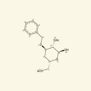 CC(=O)OC[C@@H]1C[C@@H](OCc2ccccc2)[C@H](OC(C)=O)[C@@H](O)O1